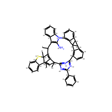 CCC1=C2C(C)c3c(N)n(c4ccccc34)-c3cccc4c3C(C)(C)c3c(cccc3-4)-c3nc(-c4ccccc4)nc(n3)C1(C)C=C1c3ccccc3SC12C